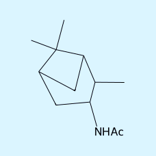 CC(=O)NC1CC2CC(C1C)C2(C)C